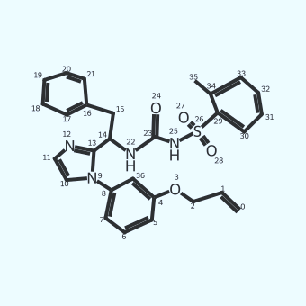 C=CCOc1cccc(-n2ccnc2C(Cc2ccccc2)NC(=O)NS(=O)(=O)c2ccccc2C)c1